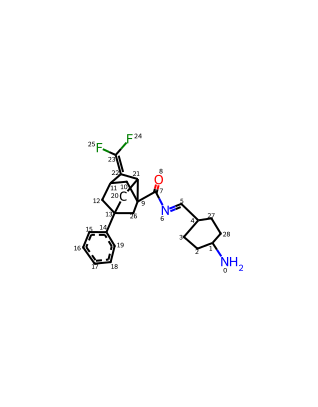 NC1CCC(/C=N/C(=O)C23CC4CC(c5ccccc5)(CC2C4=C(F)F)C3)CC1